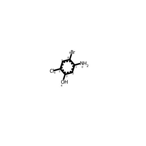 Nc1cc(O)c(Cl)cc1Br